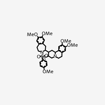 CCC1CN2CCc3cc(OC)c(OC)cc3C2CC1C1Cc2cc(OC)c(OC)cc2CCN1S(=O)(=O)c1ccc(OC)cc1